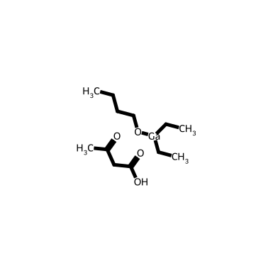 CC(=O)CC(=O)O.CCCC[O][Ga]([CH2]C)[CH2]C